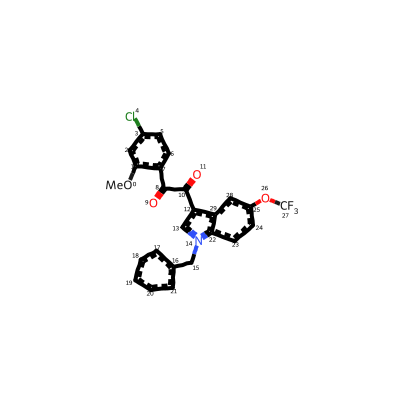 COc1cc(Cl)ccc1C(=O)C(=O)c1cn(Cc2ccccc2)c2ccc(OC(F)(F)F)cc12